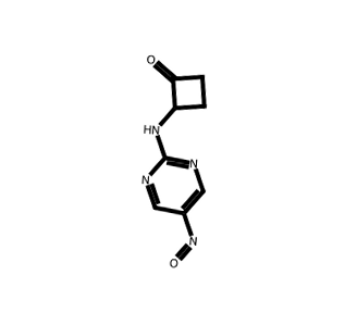 O=Nc1cnc(NC2CCC2=O)nc1